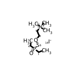 CCP(=O)(CC)SOCC[N+](C)(C)C.[I-]